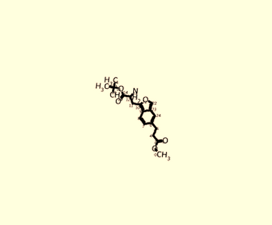 COC(=O)CCc1ccc2c(CC(N)C(=O)OC(C)(C)C)occ2c1